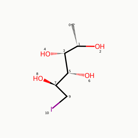 [CH2][C@H](O)[C@@H](O)[C@H](O)[C@H](O)CI